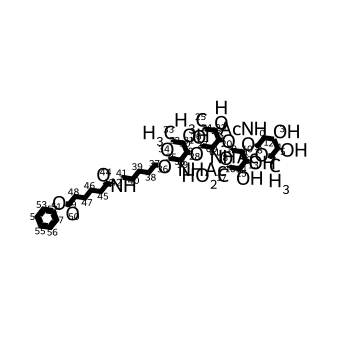 CC(=O)N[C@H]1C(O)[C@H](O)C(C)O[C@H]1O[C@H]1C(O)[C@H](O)C(C(=O)O)O[C@H]1OC1[C@H](O)C(C)O[C@@H](OC2[C@@H](O)C(C)O[C@@H](OCCCCCNC(=O)CCCCC(=O)Oc3ccccc3)[C@H]2NC(C)=O)[C@H]1NC(C)=O